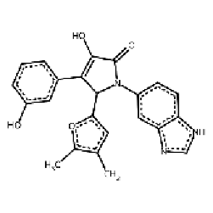 Cc1cc(C2C(c3cccc(O)c3)=C(O)C(=O)N2c2ccc3[nH]cnc3c2)oc1C